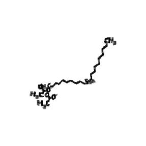 CC(=O)[O-].CC(=O)[O-].CCCCCCCCC[CH2][Sn+2][CH2]CCCCCCCCC